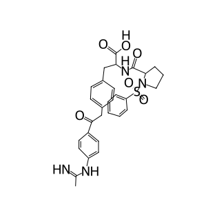 CC(=N)Nc1ccc(C(=O)Cc2ccc(CC(NC(=O)C3CCCN3S(=O)(=O)c3ccccc3)C(=O)O)cc2)cc1